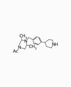 CC(=O)N1CC(C)N(Cc2ccc(C3CCNCC3)cc2)C(C)C1